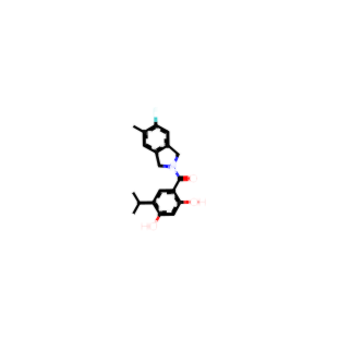 Cc1cc2c(cc1F)CN(C(=O)c1cc(C(C)C)c(O)cc1O)C2